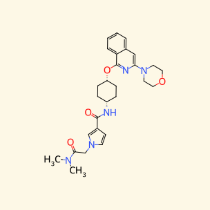 CN(C)C(=O)Cn1ccc(C(=O)N[C@H]2CC[C@@H](Oc3nc(N4CCOCC4)cc4ccccc34)CC2)c1